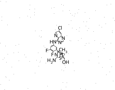 C[C@]1(c2cc(Nc3ncnc4cc(Cl)cnc34)cc(F)c2F)N=C(N)S[C@@]2(CO)C[C@H]21